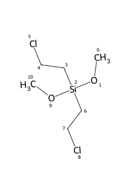 CO[Si](CCCl)(CCCl)OC